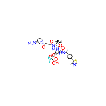 Cc1ncsc1-c1ccc(C(C)NC(=O)[C@@H]2C[C@@H](O)CN2C(=O)C(NC(=O)CCC(=O)N2CCC[C@@H](N)C2)C(C)(C)C)cc1.O=C(O)C(F)(F)F